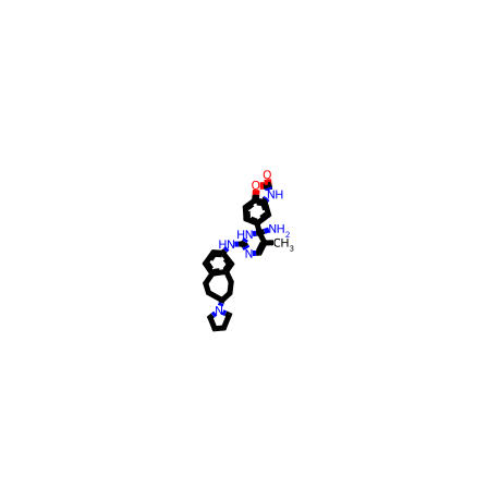 CC1=CN=C(Nc2ccc3c(c2)CCC(N2CCCC2)CC3)NC1(N)c1ccc2oc(=O)[nH]c2c1